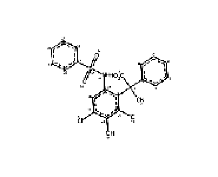 N#CC(C(=O)O)(c1ccccc1)c1c(NS(=O)(=O)c2ccccc2)cc(Cl)c(O)c1Cl